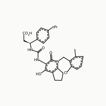 CCCc1ccc([C@H](CC(=O)O)NC(=O)Nc2c(O)c3c(n(Cc4c(C)cccc4Cl)c2=O)CCC3)cc1